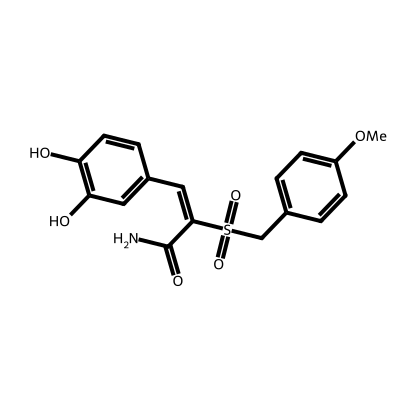 COc1ccc(CS(=O)(=O)C(=Cc2ccc(O)c(O)c2)C(N)=O)cc1